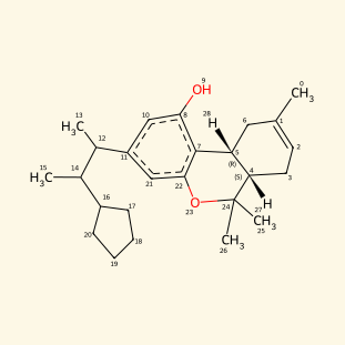 CC1=CC[C@H]2[C@@H](C1)c1c(O)cc(C(C)C(C)C3CCCC3)cc1OC2(C)C